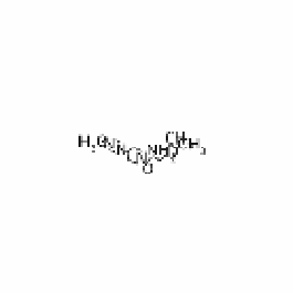 Cc1ccc(CC(N)C(=O)N2CCC(N3CCN(C)CC3)CC2)cc1C